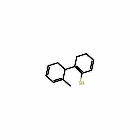 CC1=CC=CCC1C1=C(S)C=CCC1